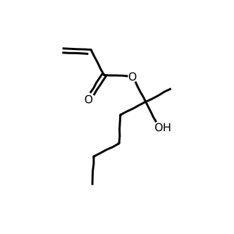 C=CC(=O)OC(C)(O)CCCC